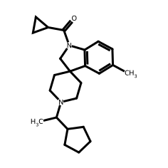 Cc1ccc2c(c1)C1(CCN(C(C)C3CCCC3)CC1)CN2C(=O)C1CC1